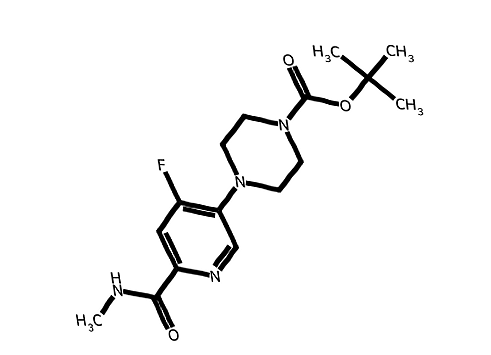 CNC(=O)c1cc(F)c(N2CCN(C(=O)OC(C)(C)C)CC2)cn1